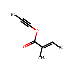 CCC#COC(=O)C(C)=CCC